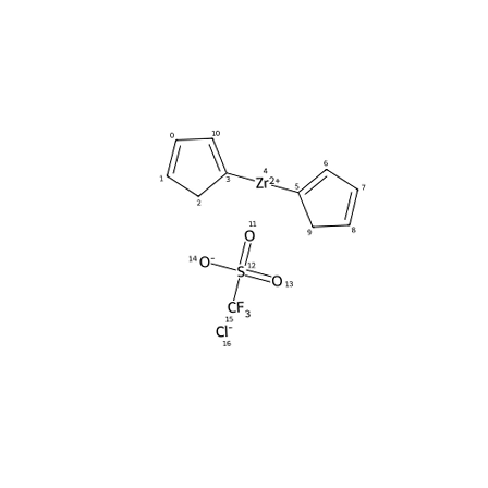 C1=CC[C]([Zr+2][C]2=CC=CC2)=C1.O=S(=O)([O-])C(F)(F)F.[Cl-]